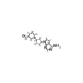 Nc1ncnc2c1ccn2C1CCC(c2cccc(C=O)c2)C1